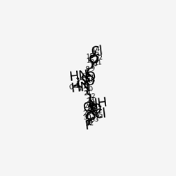 CC(C)C[C@H](NC(=O)CCc1ccc(Cl)cc1)C(=O)NCCCCNS(=O)(=O)c1ccc(F)cc1Cl